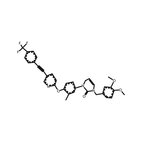 COc1ccc(CN2C=CCN(c3ccc(Oc4ccc(C#Cc5ccc(C(F)(F)F)cc5)cn4)c(C)c3)C2=O)cc1OC